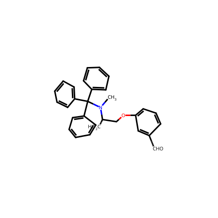 CN(C(COc1cccc(C=O)c1)C(=O)O)C(c1ccccc1)(c1ccccc1)c1ccccc1